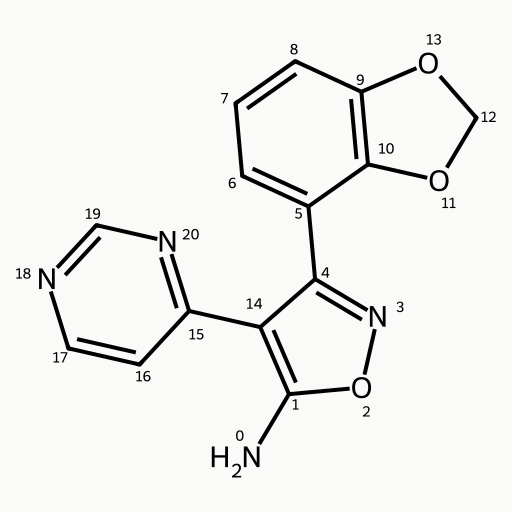 Nc1onc(-c2cccc3c2OCO3)c1-c1ccncn1